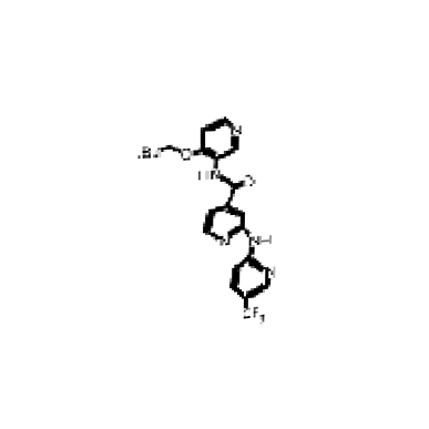 CC(C)(C)COc1ccncc1NC(=O)c1ccnc(Nc2ccc(C(F)(F)F)cn2)c1